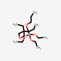 CCCOC(CC)(C1(CC)COC1)[Si](OCC)(OCC)OCC